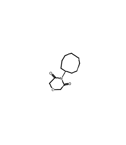 O=C1COCC(=O)N1C1CCCCCCCC1